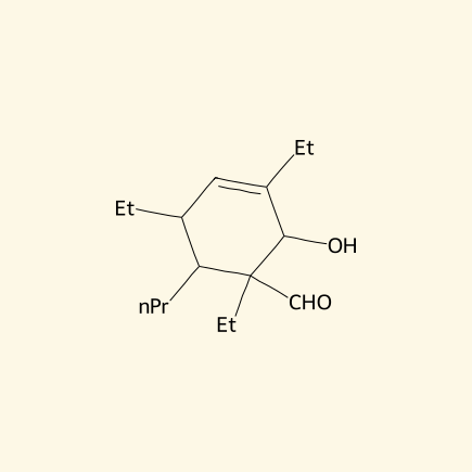 CCCC1C(CC)C=C(CC)C(O)C1(C=O)CC